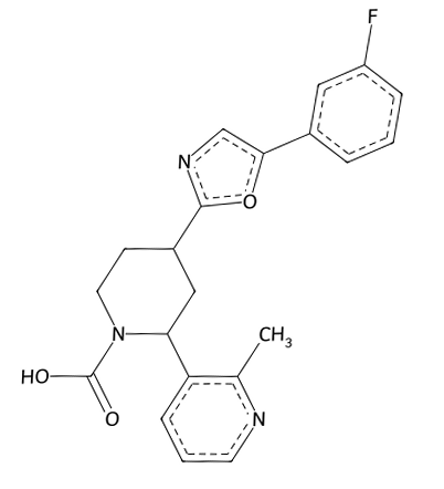 Cc1ncccc1C1CC(c2ncc(-c3cccc(F)c3)o2)CCN1C(=O)O